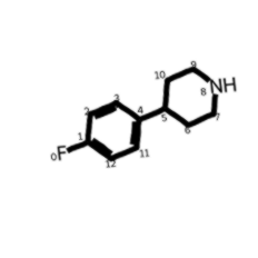 Fc1c[c]c(C2CCNCC2)cc1